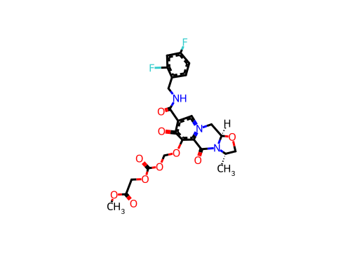 COC(=O)COC(=O)OCOc1c2n(cc(C(=O)NCc3ccc(F)cc3F)c1=O)C[C@H]1OC[C@H](C)N1C2=O